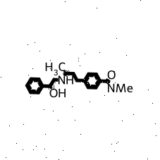 CNC(=O)c1ccc(CC[C@@H](C)NC[C@@H](O)c2ccccc2)cc1